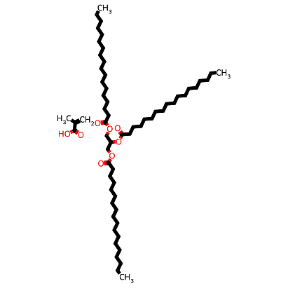 C=C(C)C(=O)O.CCCCCCCCCCCCCCCCCC(=O)OCC(COC(=O)CCCCCCCCCCCCCCCCC)OC(=O)CCCCCCCCCCCCCCCCC